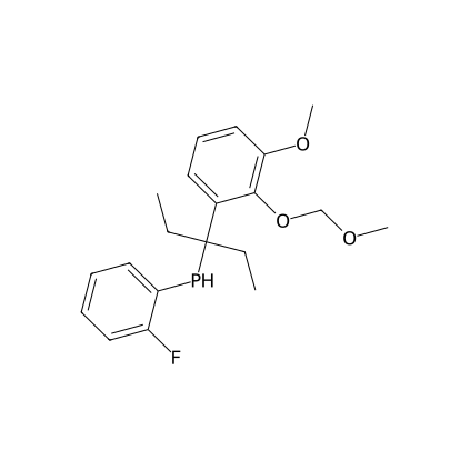 CCC(CC)(Pc1ccccc1F)c1cccc(OC)c1OCOC